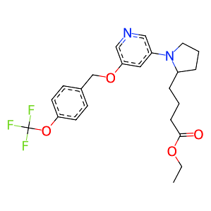 CCOC(=O)CCCC1CCCN1c1cncc(OCc2ccc(OC(F)(F)F)cc2)c1